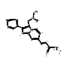 CCCN(CC)Cc1c(-c2ccccc2)nc2cc(/C=C/C(=O)NO)ccn12